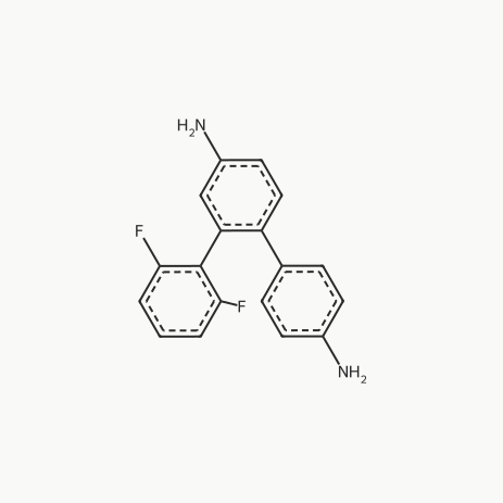 Nc1ccc(-c2ccc(N)cc2-c2c(F)cccc2F)cc1